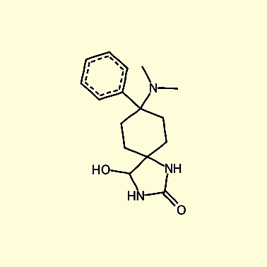 CN(C)C1(c2ccccc2)CCC2(CC1)NC(=O)NC2O